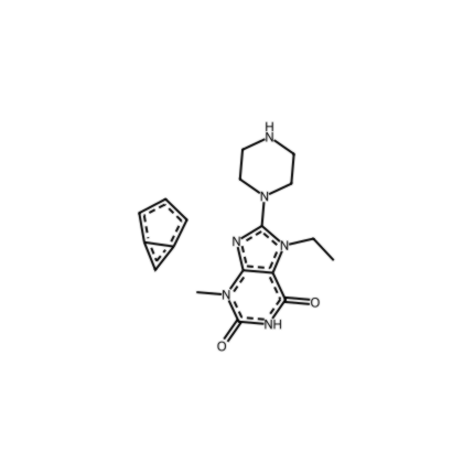 CCn1c(N2CCNCC2)nc2c1c(=O)[nH]c(=O)n2C.c1cc2cc-2c1